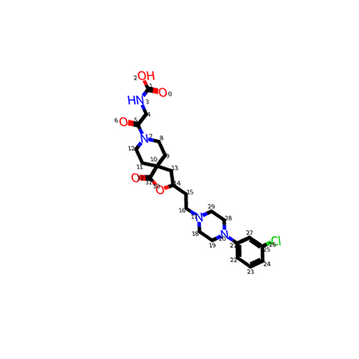 O=C(O)NCC(=O)N1CCC2(CC1)CC(CCN1CCN(c3cccc(Cl)c3)CC1)OC2=O